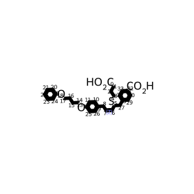 O=C(O)CCCSC(/C=C\Cc1ccc(OCCCCOc2ccccc2)cc1)Cc1ccc(C(=O)O)cc1